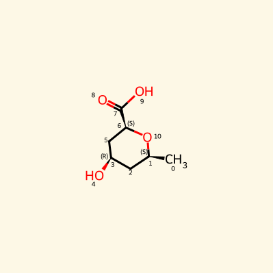 C[C@H]1C[C@@H](O)C[C@@H](C(=O)O)O1